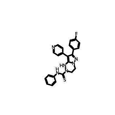 Fc1ccc(-c2nn3c(c2-c2ccncc2)NN(C(=S)Nc2ccccc2)CC3)cc1